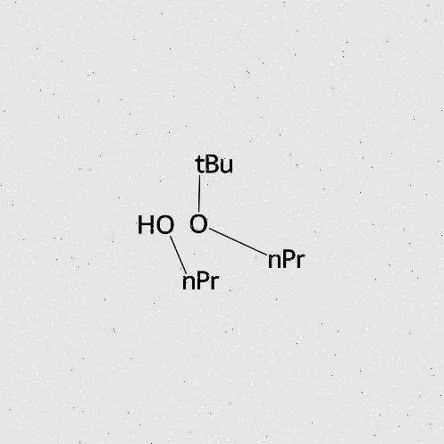 CCCO.CCCOC(C)(C)C